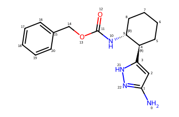 Nc1cc([C@@H]2CCCC[C@H]2NC(=O)OCc2ccccc2)[nH]n1